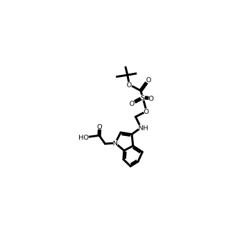 CC(C)(C)OC(=O)S(=O)(=O)OCNc1cn(CC(=O)O)c2ccccc12